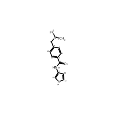 CC(C)N(C)Cc1ccc(C(=O)Nc2ccsc2)cc1